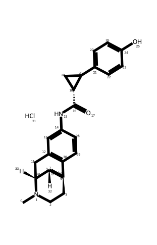 CN1CC[C@]23CCCC[C@H]2[C@H]1Cc1cc(NC(=O)[C@@H]2CC2c2ccc(O)cc2)ccc13.Cl